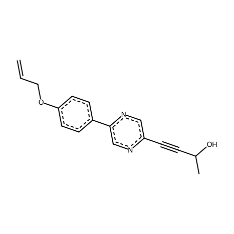 C=CCOc1ccc(-c2cnc(C#CC(C)O)cn2)cc1